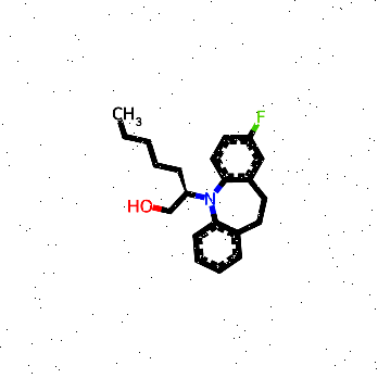 CCCCC[C@H](CO)N1c2ccccc2CCc2cc(F)ccc21